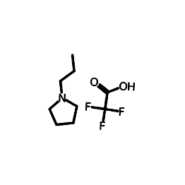 CCCN1CCCC1.O=C(O)C(F)(F)F